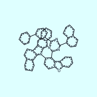 c1ccc(-c2cccc(-c3nc(-c4cccc5ccccc45)nc(-c4c(-n5c6cc7ccccc7cc6c6ccc7ccccc7c65)ccc5oc6ccccc6c45)n3)c2)cc1